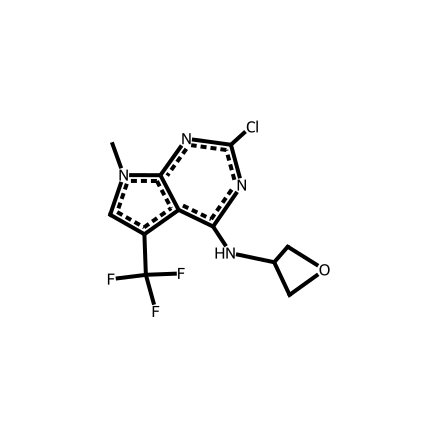 Cn1cc(C(F)(F)F)c2c(NC3COC3)nc(Cl)nc21